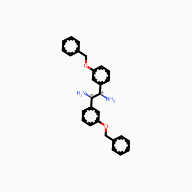 N[C@H](c1cccc(OCc2ccccc2)c1)[C@H](N)c1cccc(OCc2ccccc2)c1